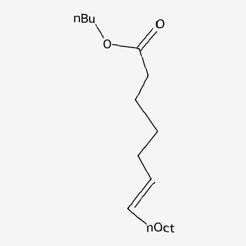 CCCCCCCCC=CCCCCC(=O)OCCCC